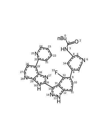 CCCCC(=O)Nc1cncc(-c2ccc3[nH]nc(-c4nc5c(-c6ccccn6)ccnc5[nH]4)c3c2F)c1